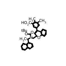 Cc1cc(C2=CC(CN(C(=O)OC(C)(C)C)[C@H](C)c3cccc4ccccc34)Oc3ccccc32)cc(C(=O)O)c1C